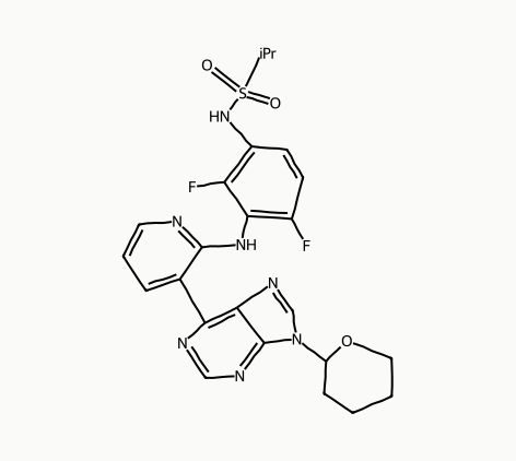 CC(C)S(=O)(=O)Nc1ccc(F)c(Nc2ncccc2-c2ncnc3c2ncn3C2CCCCO2)c1F